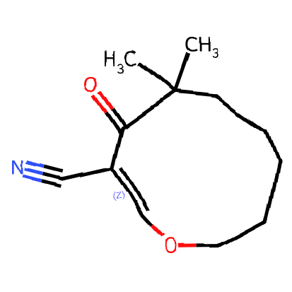 CC1(C)CCCCCO/C=C(/C#N)C1=O